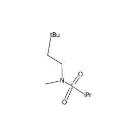 CC(C)S(=O)(=O)N(C)CCC(C)(C)C